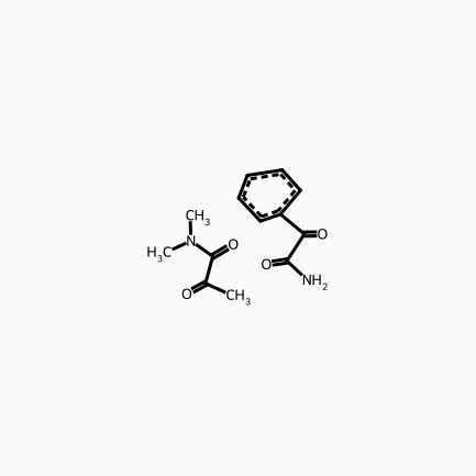 CC(=O)C(=O)N(C)C.NC(=O)C(=O)c1ccccc1